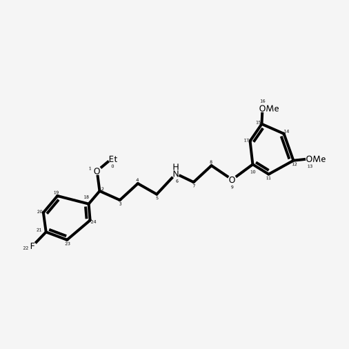 CCOC(CCCNCCOc1cc(OC)cc(OC)c1)c1ccc(F)cc1